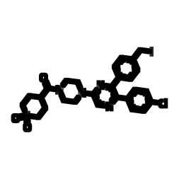 O=C(C1CCS(=O)(=O)CC1)N1CCN(c2cnc(-c3ccc(Cl)cc3)c(-c3ccc(CI)cc3)n2)CC1